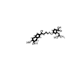 CC(O)Cc1cc(OCCCCC(=O)c2ccc3cc(O)c(O)cc3c2)ccc1C(=O)O